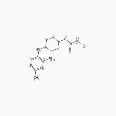 Cc1ccc(NC2CCC(OC(=O)NC(C)(C)C)CC2)c(N)c1